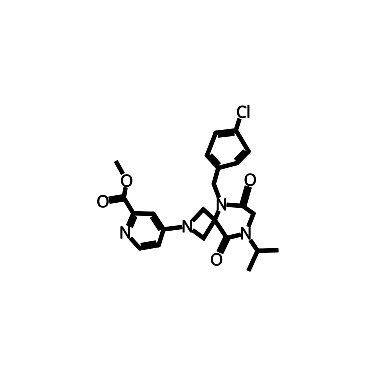 COC(=O)c1cc(N2CC3(C2)C(=O)N(C(C)C)CC(=O)N3Cc2ccc(Cl)cc2)ccn1